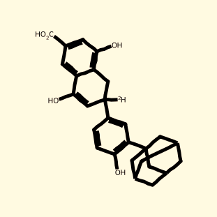 [2H]C1(c2ccc(O)c(C34CC5CC(CC(C5)C3)C4)c2)C=C(O)c2cc(C(=O)O)cc(O)c2C1